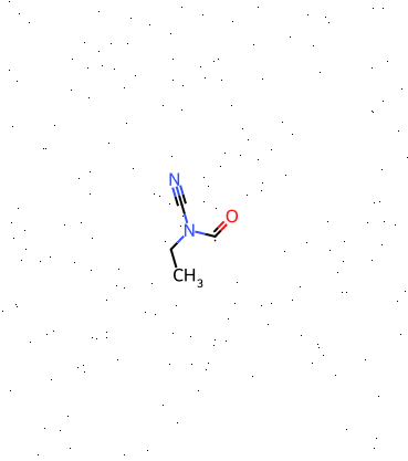 CCN([C]=O)C#N